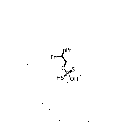 CCCC(CC)COP(O)(=S)S